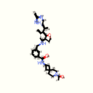 C=CC(=C1/OCC/C1=C(/C)NCc1cccc(C(=O)NC2CC3(CCN(C(C)=O)CC3)C2)c1)/C(C)=C/C=N\C(=C)N